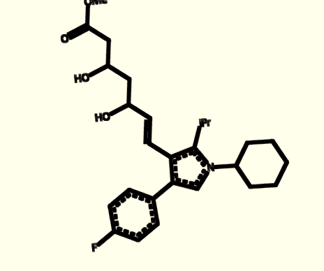 COC(=O)CC(O)CC(O)/C=C/c1c(-c2ccc(F)cc2)cn(C2CCCCC2)c1C(C)C